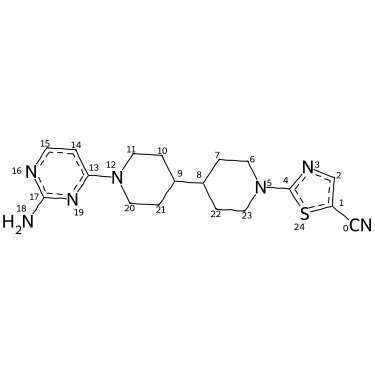 N#Cc1cnc(N2CCC(C3CCN(c4ccnc(N)n4)CC3)CC2)s1